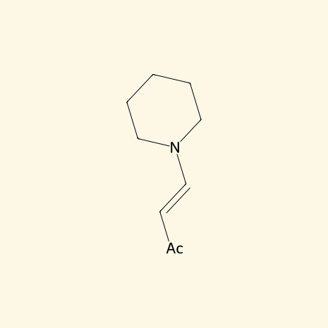 CC(=O)/C=C/N1CCCCC1